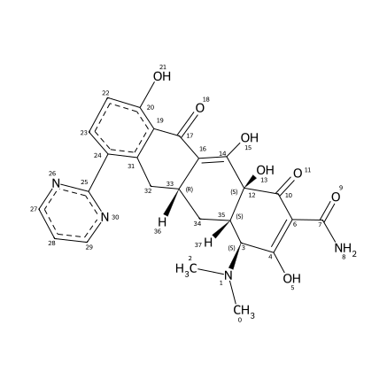 CN(C)[C@@H]1C(O)=C(C(N)=O)C(=O)[C@@]2(O)C(O)=C3C(=O)c4c(O)ccc(-c5ncccn5)c4C[C@H]3C[C@@H]12